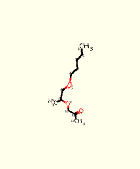 CCCCCOCC(C)OCC(C)=O